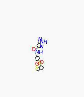 O=C(NCc1ccc(S(=O)(=O)c2cccc3ccsc23)cc1)c1cnc2[nH]ncc2c1